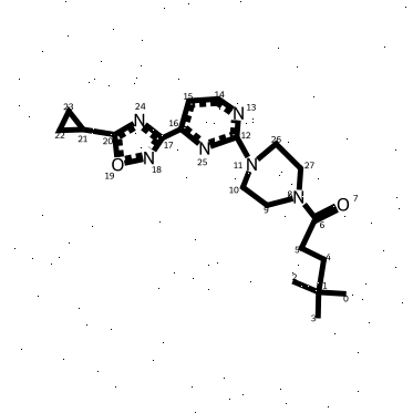 CC(C)(C)CCC(=O)N1CCN(c2nccc(-c3noc(C4CC4)n3)n2)CC1